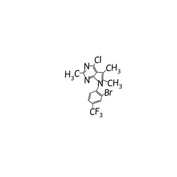 Cc1nc(Cl)c2c(C)c(C)n(-c3ccc(C(F)(F)F)cc3Br)c2n1